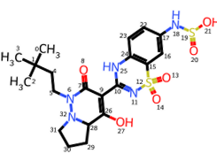 CC(C)(C)CCN1C(=O)C(C2=NS(=O)(=O)c3cc(NS(=O)O)ccc3N2)=C(O)C2CCCN21